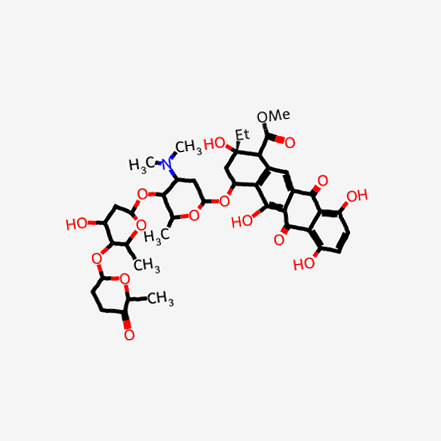 CC[C@]1(O)CC(OC2CC(N(C)C)C(OC3CC(O)C(OC4CCC(=O)C(C)O4)C(C)O3)C(C)O2)c2c(cc3c(c2O)C(=O)c2c(O)ccc(O)c2C3=O)C1C(=O)OC